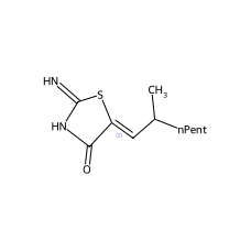 CCCCCC(C)/C=C1\SC(=N)NC1=O